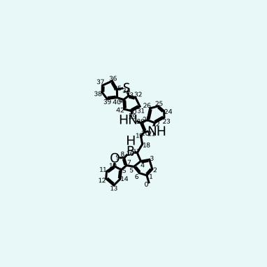 Cc1ccc2c(c1)-c1c(oc3ccccc13)BC2CCc1[nH]c2ccccc2c1Nc1ccc2sc3ccccc3c2c1